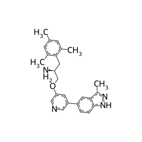 Cc1cc(C)c(C[C@H](N)COc2cncc(-c3ccc4[nH]nc(C)c4c3)c2)c(C)c1